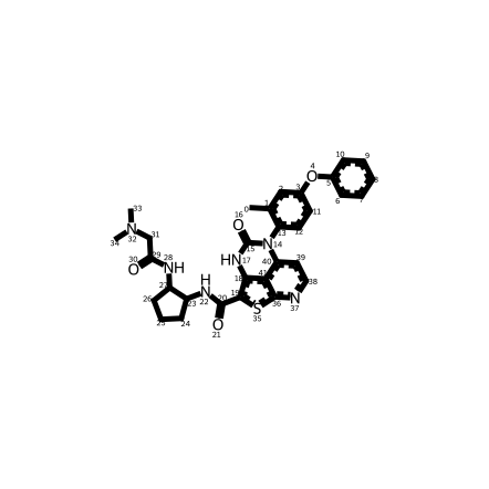 Cc1cc(Oc2ccccc2)ccc1N1C(=O)Nc2c(C(=O)NC3CCCC3NC(=O)CN(C)C)sc3nccc1c23